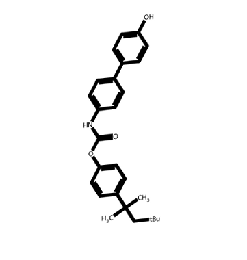 CC(C)(C)CC(C)(C)c1ccc(OC(=O)Nc2ccc(-c3ccc(O)cc3)cc2)cc1